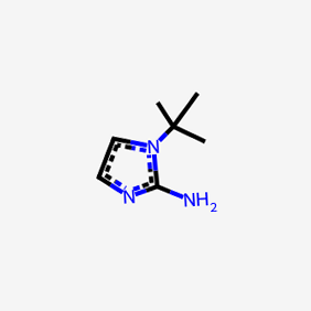 CC(C)(C)n1ccnc1N